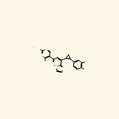 COc1ncc(-c2cc(C3CC3c3ccc(F)c(Cl)c3)c3nccn3n2)c(OC)n1